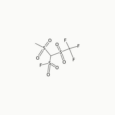 CS(=O)(=O)C(S(=O)(=O)F)S(=O)(=O)C(F)(F)F